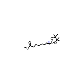 COC(=O)CCCCC/C=C/B1OC(C)(C)C(C)(C)O1